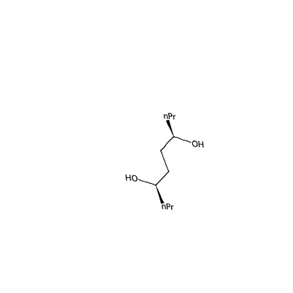 CCC[C@@H](O)CC[C@H](O)CCC